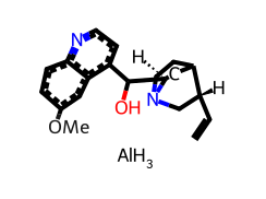 C=C[C@@H]1CN2CCC1C[C@@H]2C(O)c1ccnc2ccc(OC)cc12.[AlH3]